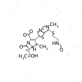 C[C@@H](O)[C@H]1C(=O)N2C(C(=O)[O-])=C(c3c[n+]4cn(C)c(SCCNC=O)c4s3)[C@H](C)[C@H]12